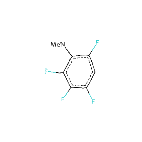 CNc1c(F)cc(F)c(F)c1F